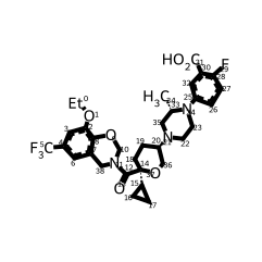 CCOc1cc(C(F)(F)F)cc2c1OCN(C(=O)[C@@]1(C3CC3)CC[C@@H](N3CCN(c4ccc(F)c(C(=O)O)c4)[C@@H](C)C3)CO1)C2